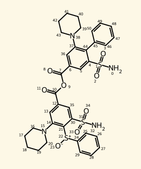 NS(=O)(=O)c1cc(C(=O)OC(=O)c2cc(N3CCCCC3)c([S+]([O-])c3ccccc3)c(S(N)(=O)=O)c2)cc(N2CCCCC2)c1-c1ccccc1